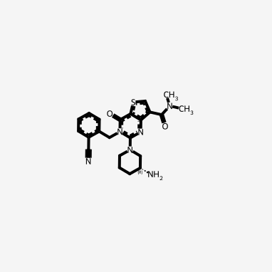 CN(C)C(=O)c1csc2c(=O)n(Cc3ccccc3C#N)c(N3CCC[C@@H](N)C3)nc12